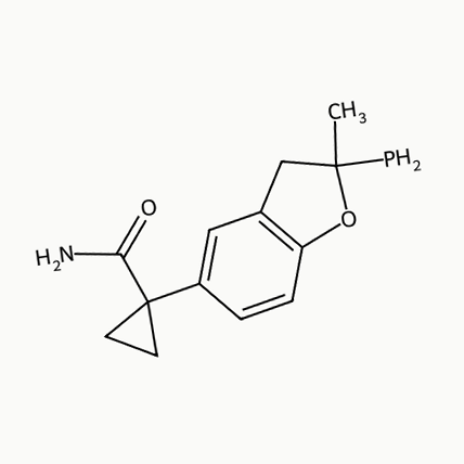 CC1(P)Cc2cc(C3(C(N)=O)CC3)ccc2O1